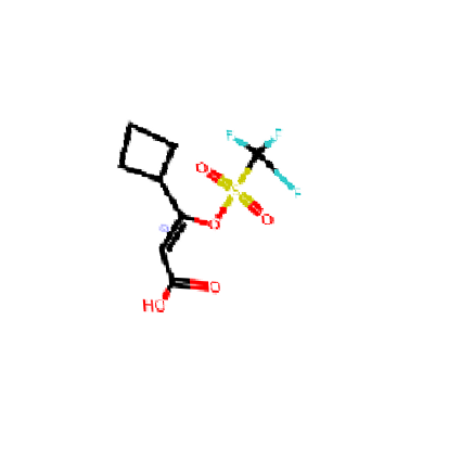 O=C(O)/C=C(\OS(=O)(=O)C(F)(F)F)C1CCC1